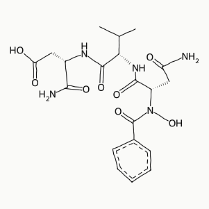 CC(C)[C@H](NC(=O)[C@H](CC(N)=O)N(O)C(=O)c1ccccc1)C(=O)N[C@@H](CC(=O)O)C(N)=O